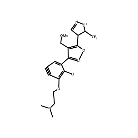 COCc1c(-c2cc#cc(OCCN(C)C)c2Cl)noc1C1C=NNC1C(F)(F)F